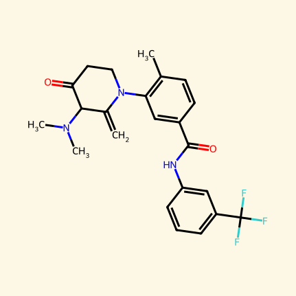 C=C1C(N(C)C)C(=O)CCN1c1cc(C(=O)Nc2cccc(C(F)(F)F)c2)ccc1C